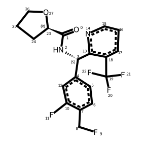 O=C(N[C@@H](c1ccc(CF)c(F)c1)c1ncccc1C(F)(F)F)[C@H]1CCCO1